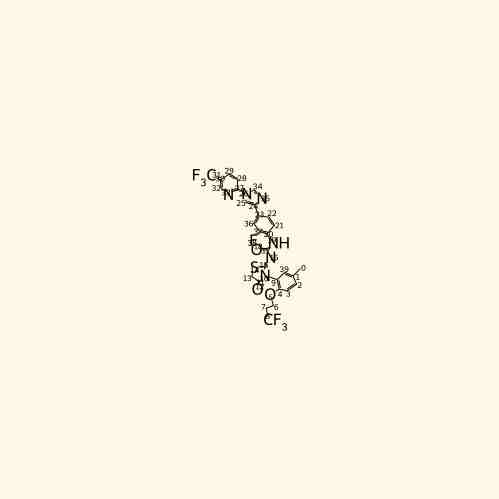 Cc1ccc(OCCC(F)(F)F)c(N2C(=O)CS/C2=N\C(=O)Nc2ccc(-c3cn(-c4ccc(C(F)(F)F)cn4)cn3)cc2F)c1